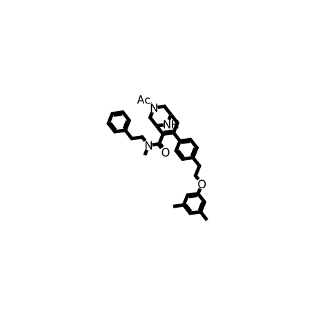 CC(=O)N1CC2CC(c3ccc(CCOc4cc(C)cc(C)c4)cc3)=C(C(=O)N(C)CCc3ccccc3)C(C1)N2